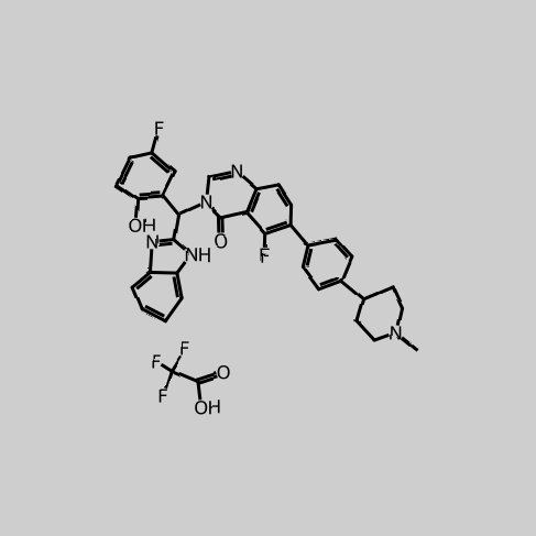 CN1CCC(c2ccc(-c3ccc4ncn(C(c5nc6ccccc6[nH]5)c5cc(F)ccc5O)c(=O)c4c3F)cc2)CC1.O=C(O)C(F)(F)F